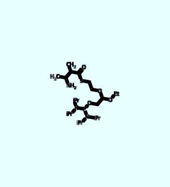 CCOC(COP(N(C(C)C)C(C)C)N(C(C)C)C(C)C)OCCSC(=O)C(C)C(C)N